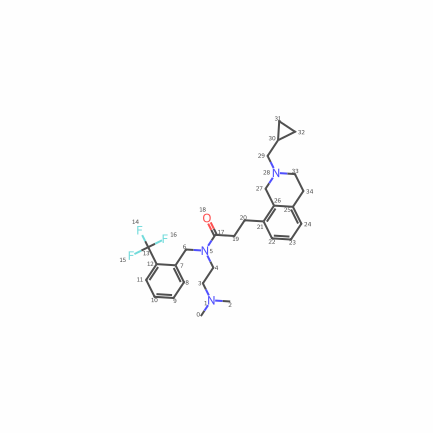 CN(C)CCN(Cc1ccccc1C(F)(F)F)C(=O)CCc1cccc2c1CN(CC1CC1)CC2